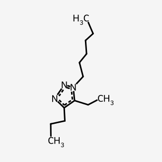 CCCCCCn1nnc(CCC)c1CC